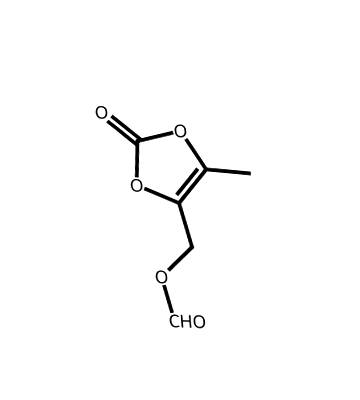 Cc1oc(=O)oc1COC=O